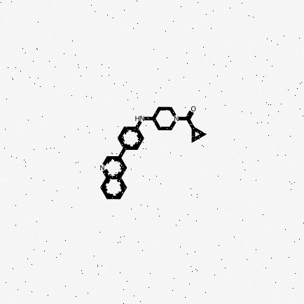 O=C(C1CC1)N1CCC(Nc2ccc(-c3cnc4ccccc4c3)cc2)CC1